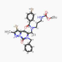 CCC(c1cc2c(Br)c(C)nn2c(=O)n1Cc1ccccc1)N(CCCNC(=O)OC(C)(C)C)C(=O)c1ccc(Br)cc1